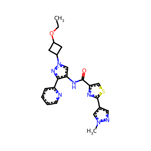 CCOC1CC(n2cc(NC(=O)c3csc(-c4cnn(C)c4)n3)c(-c3ccccn3)n2)C1